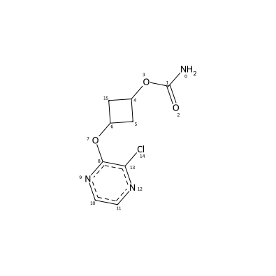 NC(=O)OC1CC(Oc2nccnc2Cl)C1